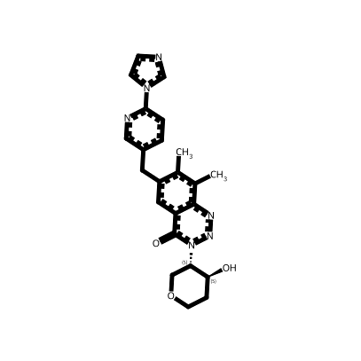 Cc1c(Cc2ccc(-n3ccnc3)nc2)cc2c(=O)n([C@H]3COCC[C@@H]3O)nnc2c1C